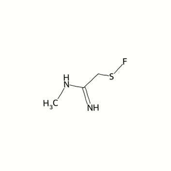 CNC(=N)CSF